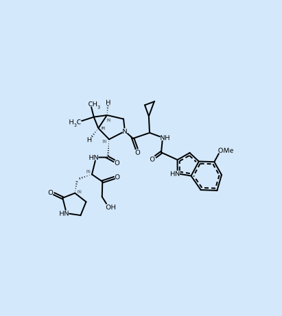 COc1cccc2[nH]c(C(=O)NC(C(=O)N3C[C@H]4[C@@H]([C@H]3C(=O)N[C@@H](C[C@@H]3CCNC3=O)C(=O)CO)C4(C)C)C3CC3)cc12